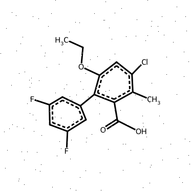 CCOc1cc(Cl)c(C)c(C(=O)O)c1-c1cc(F)cc(F)c1